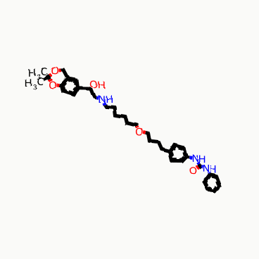 CC1(C)OCc2cc([C@@H](O)CNCCCCCCOCCCCc3ccc(NC(=O)Nc4ccccc4)cc3)ccc2O1